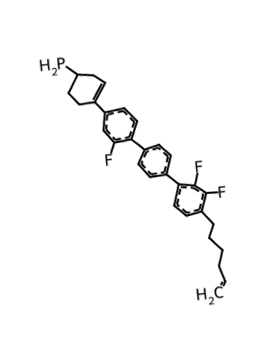 C=CCCCCc1ccc(-c2ccc(-c3ccc(C4=CCC(P)CC4)cc3F)cc2)c(F)c1F